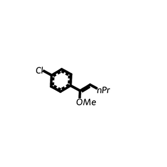 CCCC=C(OC)c1ccc(Cl)cc1